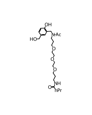 CCCC(=O)NCCCOCCOCCOCCCN(Cc1cc(CO)ccc1O)C(C)=O